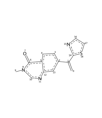 C=C(c1ccc2c(=O)n(C)cnc2c1)c1nccs1